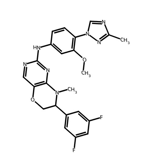 COc1cc(Nc2ncc3c(n2)N(C)C(c2cc(F)cc(F)c2)CO3)ccc1-n1cnc(C)n1